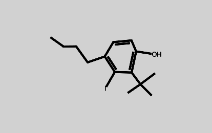 CCCCc1ccc(O)c(C(C)(C)C)c1I